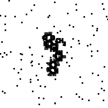 CC(CNc1cc(-c2ccc3nccnc3c2)ncn1)c1ccnc2c1OCCO2